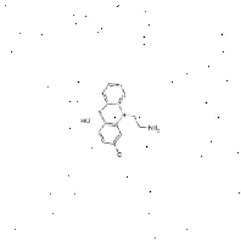 Cl.NCCN1c2ccccc2Sc2ccc(Cl)cc21